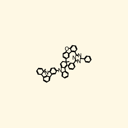 CC1(c2ccc3oc4cccc(-c5nc(-c6ccccc6)nc(-c6ccccc6)n5)c4c3c2)C=c2c(n(-c3ccc4c(c3)c3cccc5c3n4C3(C)C=CC=CC53)c3ccccc23)=CC1